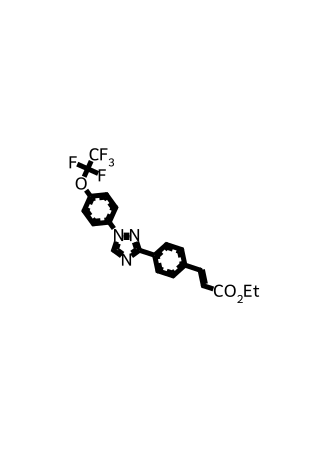 CCOC(=O)/C=C/c1ccc(-c2ncn(-c3ccc(OC(F)(F)C(F)(F)F)cc3)n2)cc1